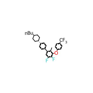 CCCC[C@H]1CC[C@H](c2ccc(-c3cc(F)c(F)c(Oc4ccc(C(F)(F)F)cc4)c3C)cc2)CC1